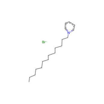 CCCCCCCCCCCCC[n+]1ccccc1.[Br-]